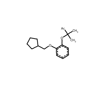 CC(=O)C(C)(C)Oc1ccccc1OCC1CCCC1